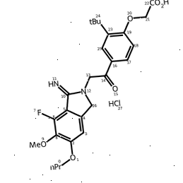 CCCOc1cc2c(c(F)c1OC)C(=N)N(CC(=O)c1ccc(OCC(=O)O)c(C(C)(C)C)c1)C2.Cl